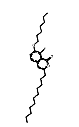 CCCCCCCCCCCc1cc2ccc(OCCCCCCC)c(F)c2c(=O)o1